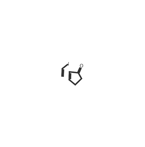 C=CI.O=C1C=CCC1